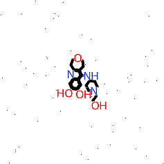 OCCN1CCC(Nc2c3c(nc4cc(O)c(O)cc24)CCOCC3)CC1